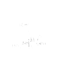 CCC(=O)OCC(C)C.CCCCCCCCCCCCCCNN(CC)N(C)S(=O)(=O)O